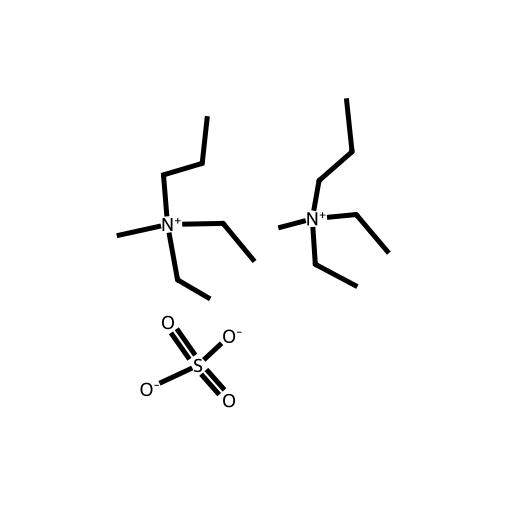 CCC[N+](C)(CC)CC.CCC[N+](C)(CC)CC.O=S(=O)([O-])[O-]